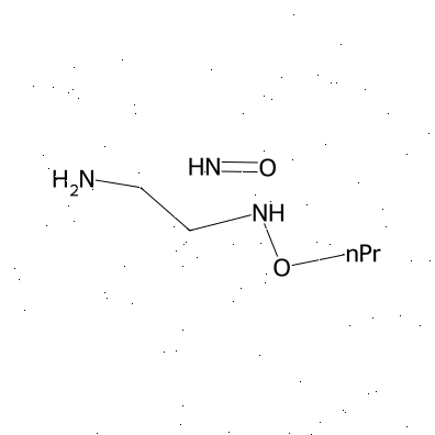 CCCONCCN.N=O